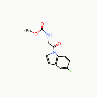 CC(C)(C)OC(=O)NCC(=O)n1ccc2cc(F)ccc21